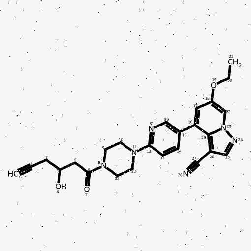 C#CCC(O)CC(=O)N1CCN(c2ccc(-c3cc(OCC)cn4ncc(C#N)c34)cn2)CC1